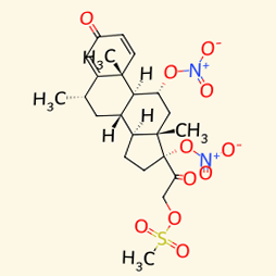 C[C@H]1C[C@@H]2[C@H]([C@H](O[N+](=O)[O-])C[C@@]3(C)[C@H]2CC[C@]3(O[N+](=O)[O-])C(=O)COS(C)(=O)=O)[C@@]2(C)C=CC(=O)C=C12